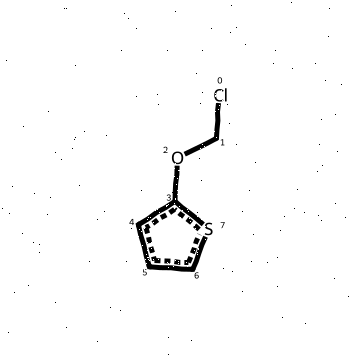 ClCOc1cccs1